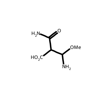 COC(N)C(C(N)=O)C(=O)O